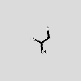 CC(S)C[O]